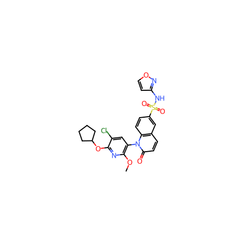 COc1nc(OC2CCCC2)c(Cl)cc1-n1c(=O)ccc2cc(S(=O)(=O)Nc3ccon3)ccc21